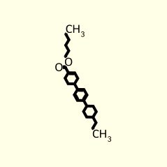 CCCCCCOC(=O)C1=CCC(c2ccc(C3CCC(CCC)CC3)cc2)CC1